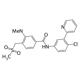 CNc1cc(C(=O)Nc2ccc(Cl)c(-c3ccccn3)c2)ccc1CS(C)(=O)=O